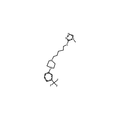 Cn1cnnc1SCCCCCN1CCN(c2cccc(C(F)(F)F)c2)CC1